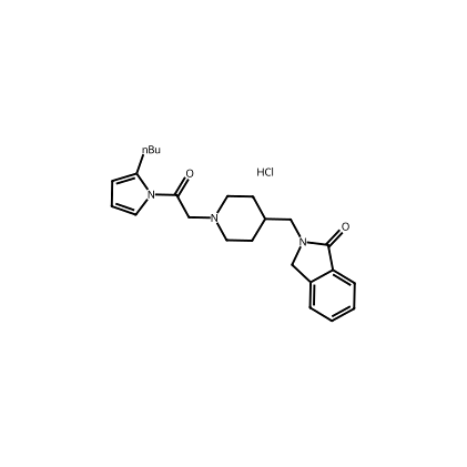 CCCCc1cccn1C(=O)CN1CCC(CN2Cc3ccccc3C2=O)CC1.Cl